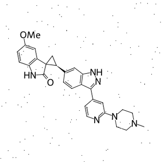 COc1ccc2c(c1)C1(C[C@H]1c1ccc3c(-c4ccnc(N5CCN(C)CC5)c4)n[nH]c3c1)C(=O)N2